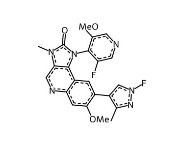 COc1cc2ncc3c(c2cc1-c1cn(F)nc1C)n(-c1c(F)cncc1OC)c(=O)n3C